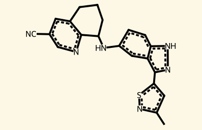 Cc1cc(-c2n[nH]c3ccc(NC4CCCc5cc(C#N)cnc54)cc23)sn1